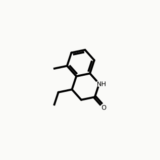 CCC1CC(=O)Nc2cccc(C)c21